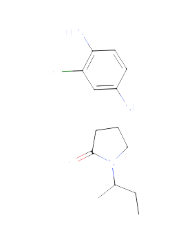 CCC(C)N1C[C@@H](Nc2ccc(N)c(Cl)c2)CC1=O